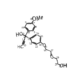 C#CC(O)(c1ccc(OC)cc1)c1ccc(OCCOCCO)cc1